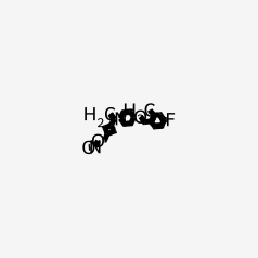 C=C(C1CC(CON=O)C1)N1CCC(OCc2ccc(F)cc2C)CC1